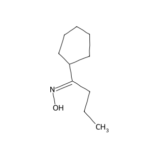 CCC/C(=N\O)C1CCCCC1